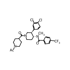 CC(=O)N1CCC(C(=O)N2CC[C@@H](N(C)C(=O)c3ccc(C(F)(F)F)cc3)[C@H](c3ccc(Cl)c(Cl)c3)C2)CC1